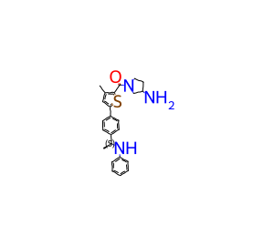 Cc1cc(-c2ccc([C@H](C)Nc3ccccc3)cc2)sc1C(=O)N1CCC(N)C1